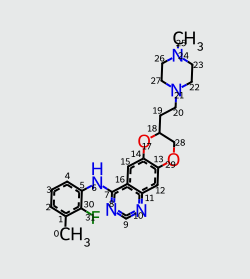 Cc1cccc(Nc2ncnc3cc4c(cc23)OC(CCN2CCN(C)CC2)CO4)c1F